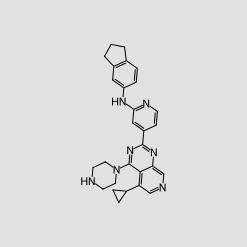 c1cc(-c2nc(N3CCNCC3)c3c(C4CC4)cncc3n2)cc(Nc2ccc3c(c2)CCC3)n1